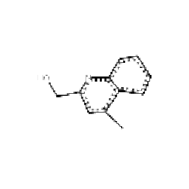 OCc1cc(I)c2ccccc2n1